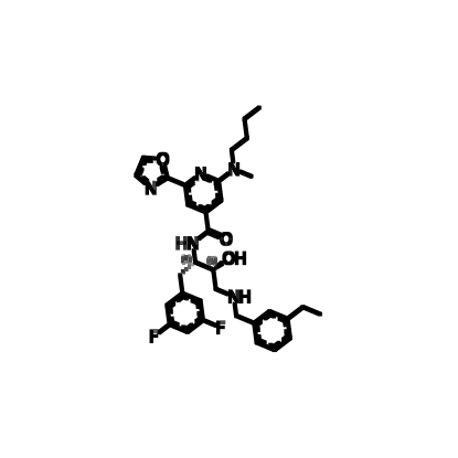 CCCCN(C)c1cc(C(=O)N[C@@H](Cc2cc(F)cc(F)c2)[C@@H](O)CNCc2cccc(CC)c2)cc(-c2ncco2)n1